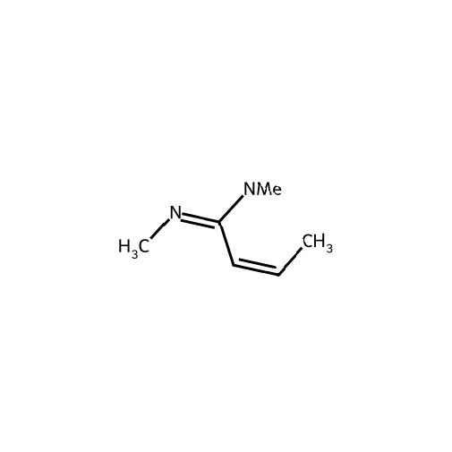 C/C=C\C(=N/C)NC